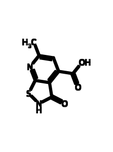 Cc1cc(C(=O)O)c2c(=O)[nH]sc2n1